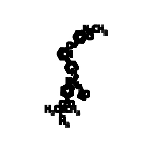 Cc1nc2ccc(COc3cccc(C4CCN(Cc5nc6ccc(C(=O)OC(C)(C)C)cc6n5C[C@@H]5CCO5)CC4)n3)cc2o1